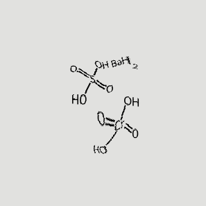 O=S(=O)(O)O.[BaH2].[O]=[Cr](=[O])([OH])[OH]